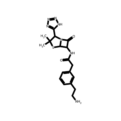 CC1(C)SC2C(NC(=O)Cc3cccc(CCN)c3)C(=O)N2C1c1nnn[nH]1